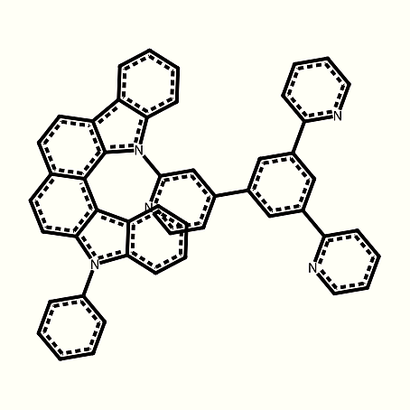 c1ccc(-n2c3ccccc3c3c4c(ccc5c6ccccc6n(-c6cc(-c7cc(-c8ccccn8)cc(-c8ccccn8)c7)ccn6)c54)ccc32)cc1